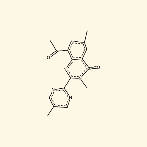 CC(=O)c1cc(C)cc2c(=O)n(C)c(-c3ncc(C)cn3)nc12